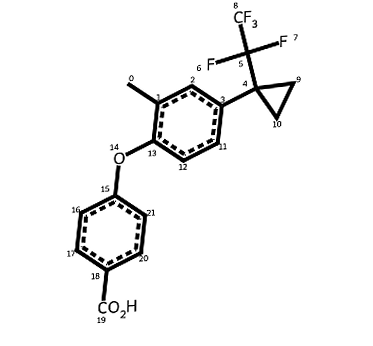 Cc1cc(C2(C(F)(F)C(F)(F)F)CC2)ccc1Oc1ccc(C(=O)O)cc1